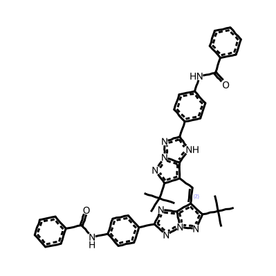 CC(C)(C)c1nn2nc(-c3ccc(NC(=O)c4ccccc4)cc3)[nH]c2c1/C=c1/c(C(C)(C)C)nn2nc(-c3ccc(NC(=O)c4ccccc4)cc3)nc12